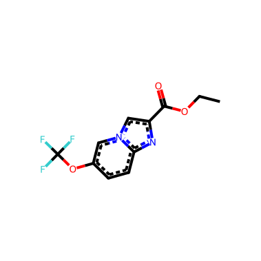 CCOC(=O)c1cn2cc(OC(F)(F)F)ccc2n1